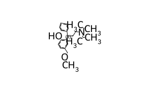 CCOCc1ccc(O)c([C@H](CCN(C(C)C)C(C)C)c2ccccc2)c1